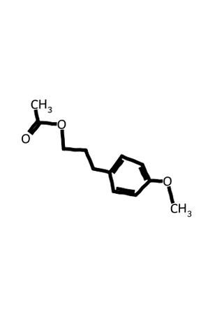 COc1ccc(CCCOC(C)=O)cc1